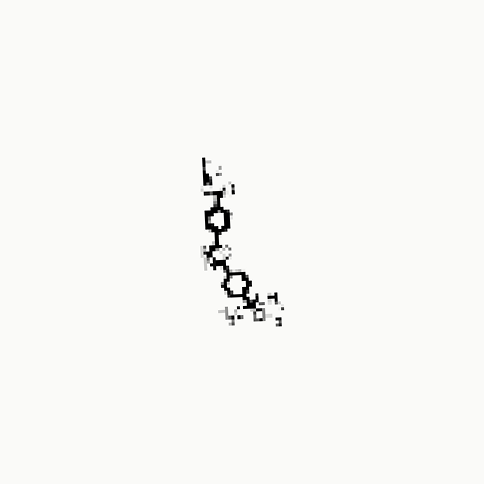 CC(C)(C)C1CCC(c2nnc(-c3ccc(C(=O)ON)cc3)o2)CC1